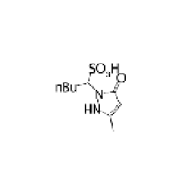 CCCCC(n1[nH]c(C)cc1=O)S(=O)(=O)O